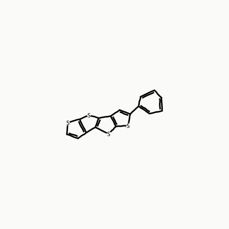 c1ccc(-c2cc3c(s2)sc2c4ccsc4sc32)cc1